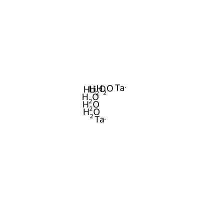 O.O.O.O.O.[LiH].[Ta].[Ta]